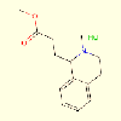 COC(=O)CCC1c2ccccc2CCN1C.Cl